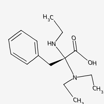 CCN[C@](Cc1ccccc1)(C(=O)O)N(CC)CC